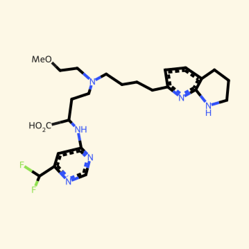 COCCN(CCCCc1ccc2c(n1)NCCC2)CCC(Nc1cc(C(F)F)ncn1)C(=O)O